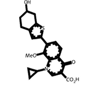 COc1c(-c2cc3c(s2)CC(O)CC3)ccc2c(=O)c(C(=O)O)cn(C3CC3)c12